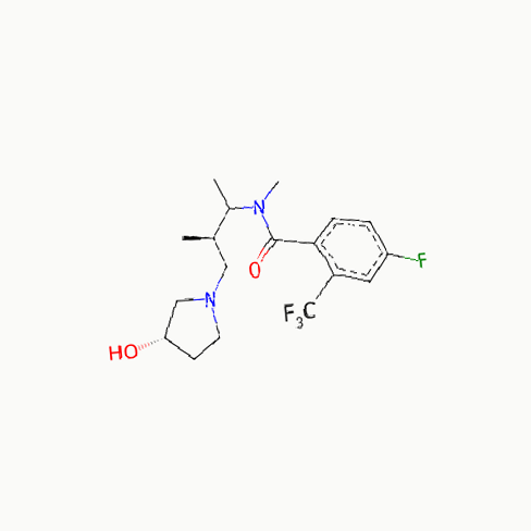 CC([C@H](C)CN1CC[C@H](O)C1)N(C)C(=O)c1ccc(F)cc1C(F)(F)F